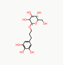 OCC1O[C@@H](OCCCc2cc(O)c(O)c(O)c2)C(O)[C@@H](O)[C@@H]1O